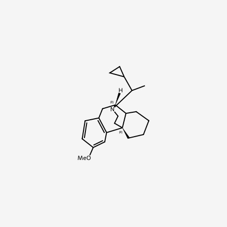 COc1ccc2c(c1)[C@@]13CCCCC1[C@@H](C2)N(C(C)C1CC1)CC3